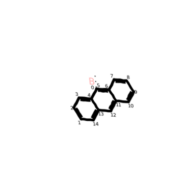 [B].c1ccc2cc3ccccc3cc2c1